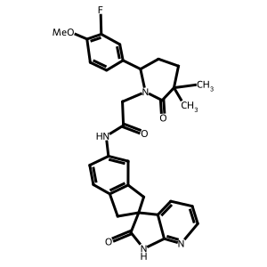 COc1ccc(C2CCC(C)(C)C(=O)N2CC(=O)Nc2ccc3c(c2)CC2(C3)C(=O)Nc3ncccc32)cc1F